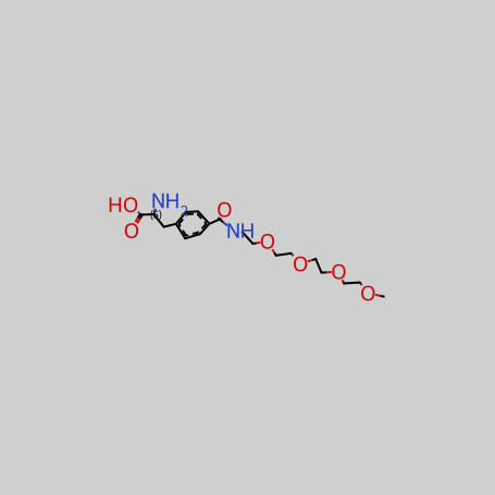 COCCOCCOCCOCCNC(=O)c1ccc(C[C@H](N)C(=O)O)cc1